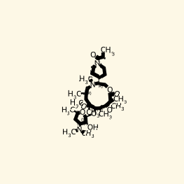 CCC(=O)N1CCC([C@@H]2COC(=O)C(C)(C)C(=O)[C@H](C)[C@@H](O[C@@H]3O[C@H](C)C[C@H](N(C)C)[C@H]3O)[C@](C)(OC)C[C@@H](C)CN2C)CC1